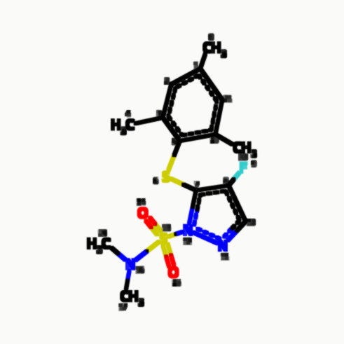 Cc1cc(C)c(Sc2c(F)cnn2S(=O)(=O)N(C)C)c(C)c1